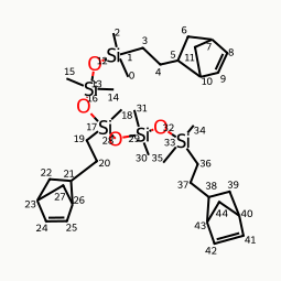 C[Si](C)(CCC1CC2C=CC1C2)O[Si](C)(C)O[Si](C)(CCC1CC2C=CC1C2)O[Si](C)(C)O[Si](C)(C)CCC1CC2C=CC1C2